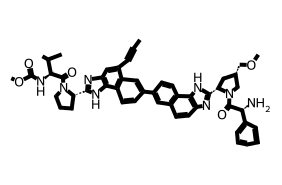 CC#Cc1cc2nc([C@@H]3CCCN3C(=O)[C@@H](NC(=O)OC)C(C)C)[nH]c2c2ccc(-c3ccc4c(ccc5nc([C@@H]6C[C@H](COC)CN6C(=O)[C@H](N)c6ccccc6)[nH]c54)c3)cc12